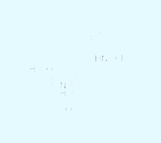 COC(=O)CNC(=O)C1(c2ccc(CCCN[C@H](C)c3cccc4ccccc34)cc2)CCOCC1